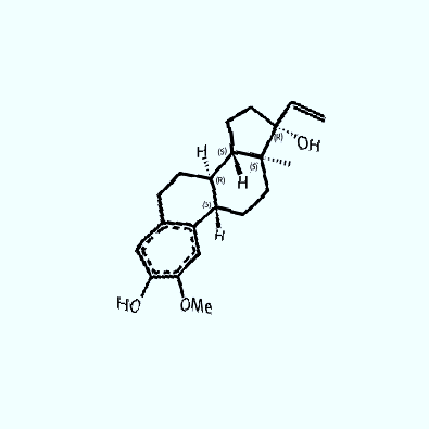 C=C[C@]1(O)CC[C@H]2[C@@H]3CCc4cc(O)c(OC)cc4[C@H]3CC[C@@]21C